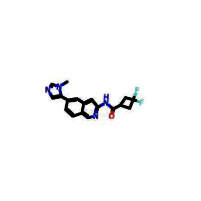 Cn1cncc1-c1ccc2cnc(NC(=O)C3CC(F)(F)C3)cc2c1